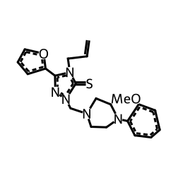 C=CCn1c(-c2ccco2)nn(CN2CCN(c3ccccc3OC)CC2)c1=S